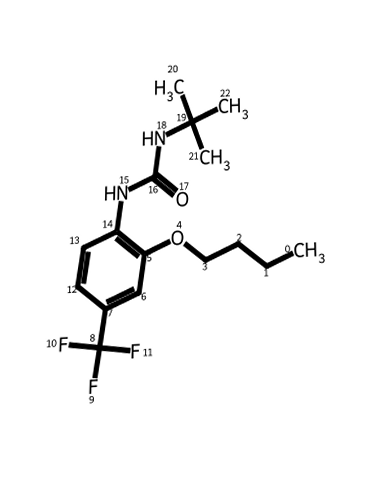 CCCCOc1cc(C(F)(F)F)ccc1NC(=O)NC(C)(C)C